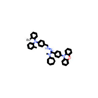 CCC(C)c1ccccc1N(c1ccc(CN/N=C(/c2ccc(N3c4ccccc4Oc4ccccc43)cc2)N(C)C2=CCC=CC=C2)cc1)c1ccccc1C